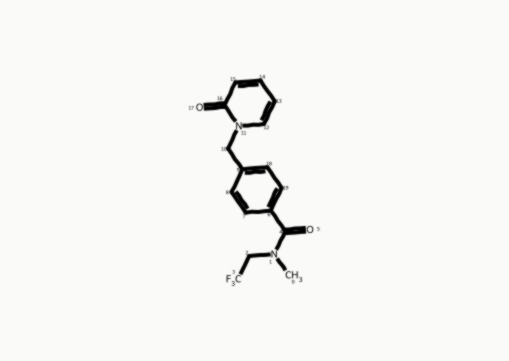 CN(CC(F)(F)F)C(=O)c1ccc(Cn2ccccc2=O)cc1